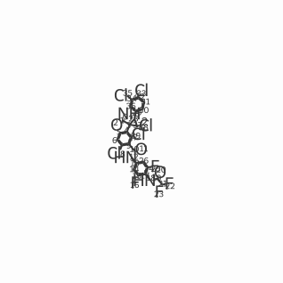 NC(=O)C1(c2ccc(Cl)c(C(=O)Nc3cc(F)c(NC(=O)C(F)F)c(F)c3)c2)C(c2ccc(Cl)c(Cl)c2)C1(Cl)Cl